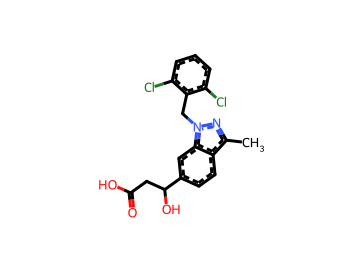 Cc1nn(Cc2c(Cl)cccc2Cl)c2cc(C(O)CC(=O)O)ccc12